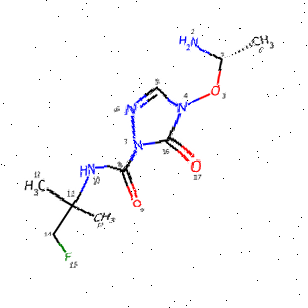 C[C@@H](N)On1cnn(C(=O)NC(C)(C)CF)c1=O